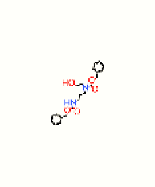 O=C(NCCCN(CCO)C(=O)OCc1ccccc1)OCc1ccccc1